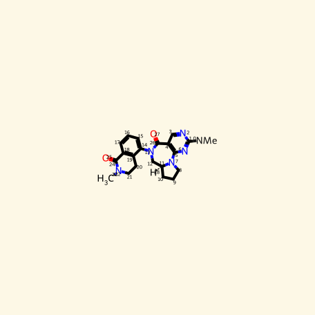 CNc1ncc2c(n1)N1CCC[C@H]1CN(c1cccc3c1CCN(C)C3=O)C2=O